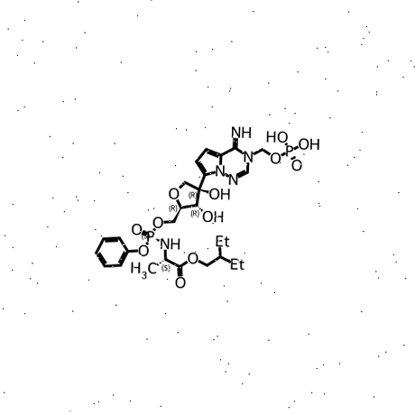 CCC(CC)COC(=O)[C@H](C)N[P@](=O)(OC[C@H]1OC[C@](O)(c2ccc3c(=N)n(COP(=O)(O)O)cnn23)[C@@H]1O)Oc1ccccc1